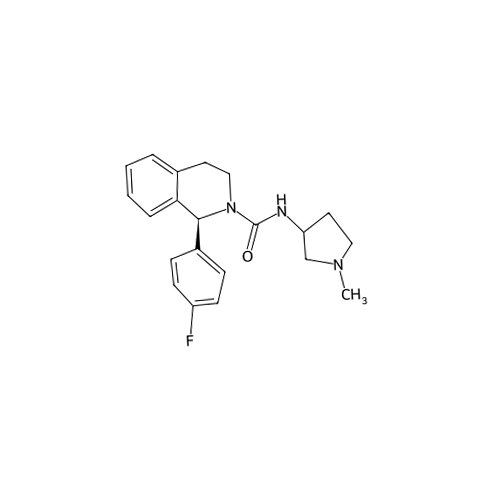 CN1CCC(NC(=O)N2CCc3ccccc3[C@@H]2c2ccc(F)cc2)C1